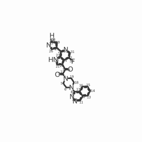 O=C(C(=O)N1CCN(c2nncc3ccccc23)CC1)c1c[nH]c2c(-c3cn[nH]c3)ncc(F)c12